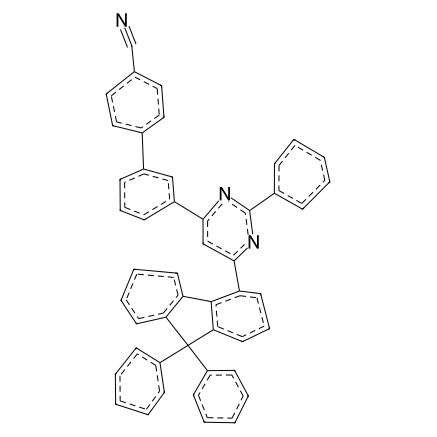 N#Cc1ccc(-c2cccc(-c3cc(-c4cccc5c4-c4ccccc4C5(c4ccccc4)c4ccccc4)nc(-c4ccccc4)n3)c2)cc1